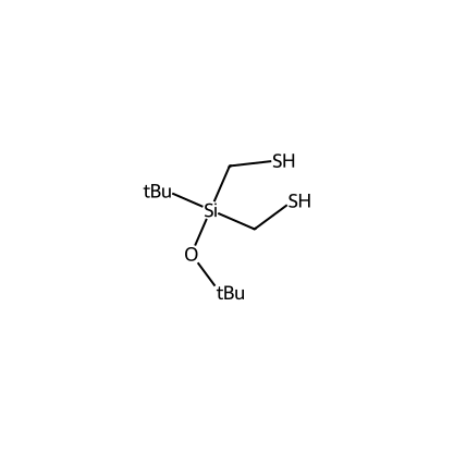 CC(C)(C)O[Si](CS)(CS)C(C)(C)C